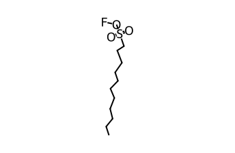 CCCCCCCCCCCS(=O)(=O)OF